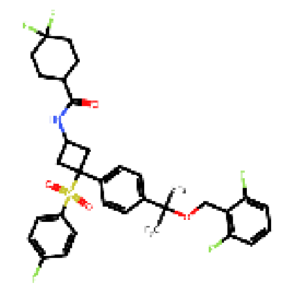 O=C(NC1CC(c2ccc(C(OCc3c(F)cccc3F)(C(F)(F)F)C(F)(F)F)cc2)(S(=O)(=O)c2ccc(F)cc2)C1)C1CCC(F)(F)CC1